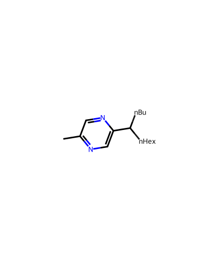 CCCCCCC(CCCC)c1cnc(C)cn1